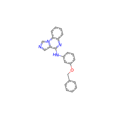 c1ccc(COc2cccc(Nc3nc4ccccc4n4cncc34)c2)cc1